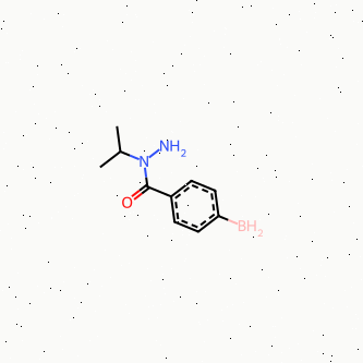 Bc1ccc(C(=O)N(N)C(C)C)cc1